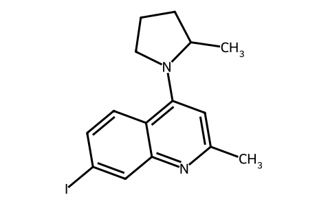 Cc1cc(N2CCCC2C)c2ccc(I)cc2n1